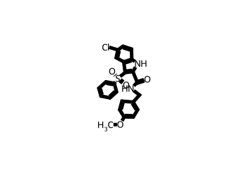 COc1ccc(CNC(=O)c2[nH]c3ccc(Cl)cc3c2S(=O)(=O)c2ccccc2)cc1